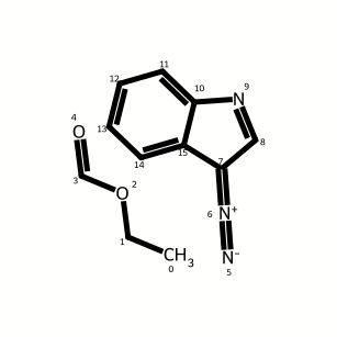 CCOC=O.[N-]=[N+]=C1C=Nc2ccccc21